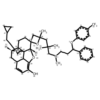 CN(CCC(Oc1ccc(C(F)(F)F)cc1)c1ccccc1)CC(C)(C)CC1(C)C[C@@]2(CC[C@@]3(O)[C@H]4CC5C=CC(O)=C6O[C@@H]2[C@]3(CCN4CC2CC2)C65)O1